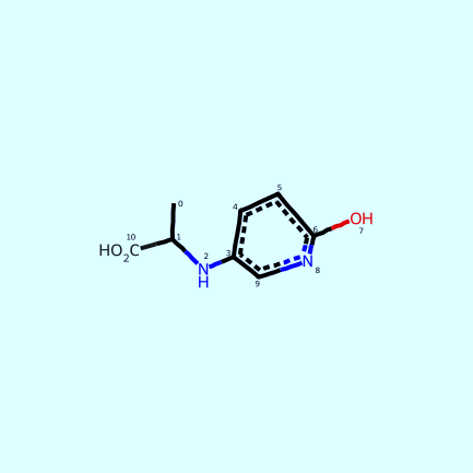 CC(Nc1ccc(O)nc1)C(=O)O